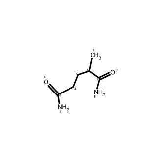 CC([CH]CC(N)=O)C(N)=O